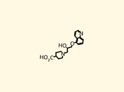 O=C(O)C1CCN(C[C@@H](O)COc2cccc3ncccc23)CC1